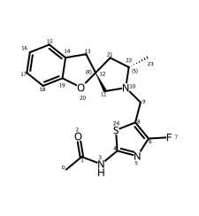 CC(=O)Nc1nc(F)c(CN2C[C@@]3(Cc4ccccc4O3)C[C@@H]2C)s1